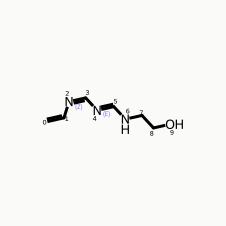 C=C/N=C\N=C\NCCO